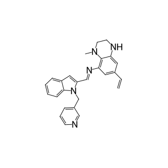 C=Cc1cc(/N=C/c2cc3ccccc3n2Cc2cccnc2)c2c(c1)NCCN2C